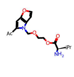 CC(=O)c1cc2occc2n1COCCOC(=O)[C@H](N)C(C)C